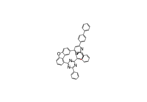 c1ccc(-c2ccc(-c3cc(-c4ccc5oc6cccc(-c7nc(-c8ccccc8)nc(-c8ccccc8)n7)c6c5c4)nc(-c4ccccc4)n3)cc2)cc1